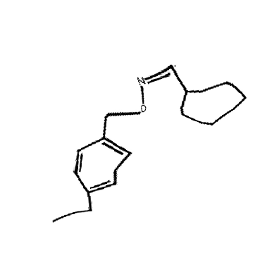 CCc1ccc(CO/N=[C]\C2CCCC2)cc1